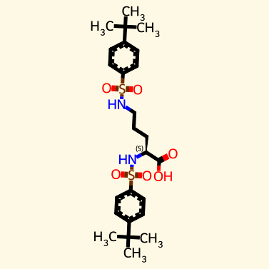 CC(C)(C)c1ccc(S(=O)(=O)NCCC[C@H](NS(=O)(=O)c2ccc(C(C)(C)C)cc2)C(=O)O)cc1